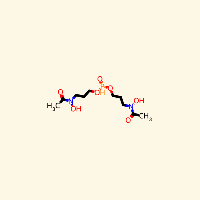 CC(=O)N(O)CCCO[PH](=O)OCCCN(O)C(C)=O